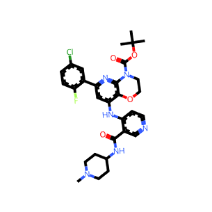 CN1CCC(NC(=O)c2cnccc2Nc2cc(-c3cc(Cl)ccc3F)nc3c2OCCN3C(=O)OC(C)(C)C)CC1